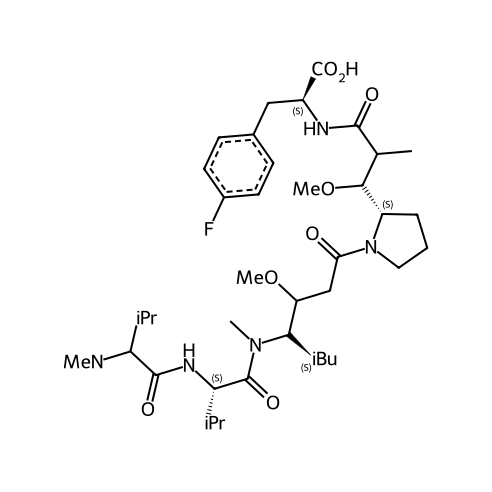 CC[C@H](C)C(C(CC(=O)N1CCC[C@H]1C(OC)C(C)C(=O)N[C@@H](Cc1ccc(F)cc1)C(=O)O)OC)N(C)C(=O)[C@@H](NC(=O)C(NC)C(C)C)C(C)C